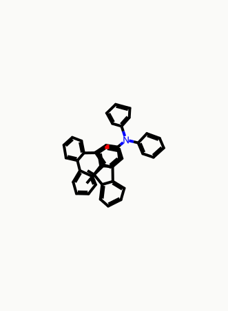 CC1(C)c2ccccc2-c2cccc(-c3ccccc3-c3ccccc3-c3ccc(N(c4ccccc4)c4ccccc4)cc3)c21